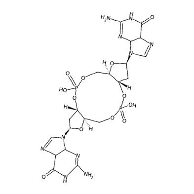 NC1=NC2C(N=CN2[C@H]2C[C@@H]3OP(=O)(O)OC[C@H]4O[C@@H](N5C=NC6C(=O)NC(N)=NC65)C[C@@H]4OP(=O)(O)OC[C@H]3O2)C(=O)N1